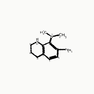 CN(C)c1c(N)ccc2c1NCCC2